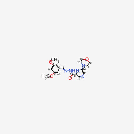 COc1cc(/C=N/NC(=O)c2cncc(N3CCOCC3)n2)cc(OC)c1